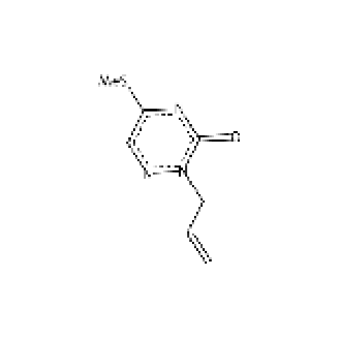 C=CCn1ncc(SC)nc1=O